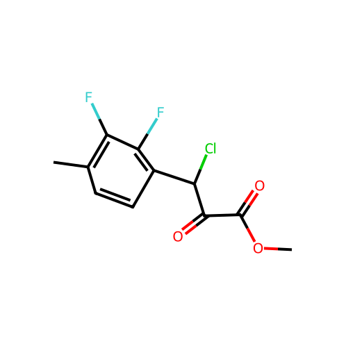 COC(=O)C(=O)C(Cl)c1ccc(C)c(F)c1F